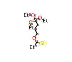 CCO[Si](CCCOC(S)CC)(OCC)OCC